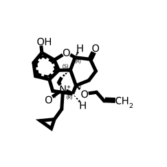 C=CCO[C@@]12CCC(=O)[C@@H]3Oc4c(O)ccc5c4[C@@]31CC[N+]([O-])(CC1CC1)[C@@H]2C5